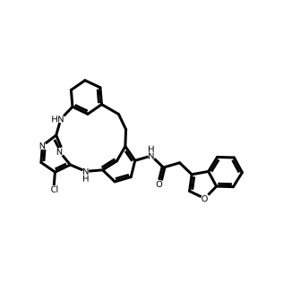 O=C(Cc1coc2ccccc12)Nc1ccc2cc1CCC1=CCCC(=C1)Nc1ncc(Cl)c(n1)N2